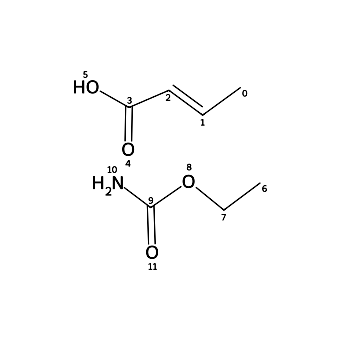 CC=CC(=O)O.CCOC(N)=O